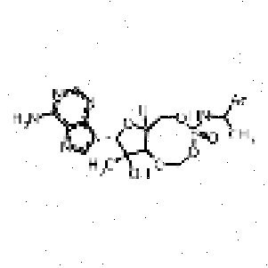 CC(=O)C(C)NP1(=O)OCOC2[C@@H](CO1)O[C@@H](n1cnc3c(N)ncnc31)[C@@]2(C)O